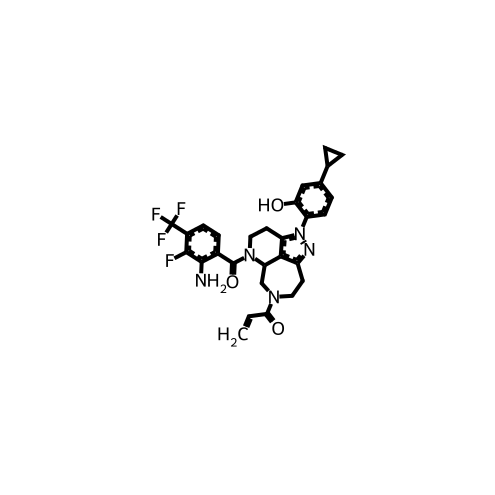 C=CC(=O)N1CCc2nn(-c3ccc(C4CC4)cc3O)c3c2C(C1)N(C(=O)c1ccc(C(F)(F)F)c(F)c1N)CC3